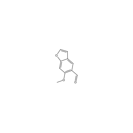 COc1cc2occc2cc1C=O